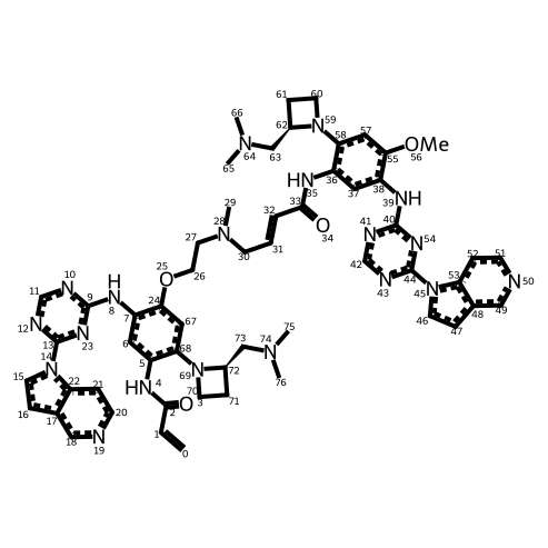 C=CC(=O)Nc1cc(Nc2ncnc(-n3ccc4cnccc43)n2)c(OCCN(C)C/C=C/C(=O)Nc2cc(Nc3ncnc(-n4ccc5cnccc54)n3)c(OC)cc2N2CC[C@@H]2CN(C)C)cc1N1CC[C@@H]1CN(C)C